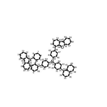 c1ccc(-c2ccccc2-n2c3ccccc3c3ccccc32)c(-c2ccc(N(c3ccc(-c4cccc5ccccc45)cc3)c3ccc(-c4cccc5c4oc4ccccc45)cc3)cc2)c1